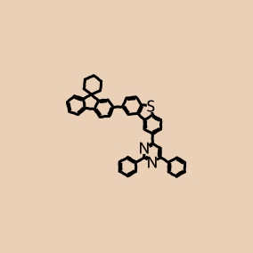 c1ccc(-c2cc(-c3ccc4sc5ccc(-c6ccc7c(c6)C6(CCCCC6)c6ccccc6-7)cc5c4c3)nc(-c3ccccc3)n2)cc1